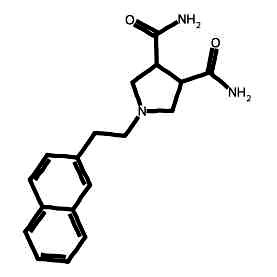 NC(=O)C1CN(CCc2ccc3ccccc3c2)CC1C(N)=O